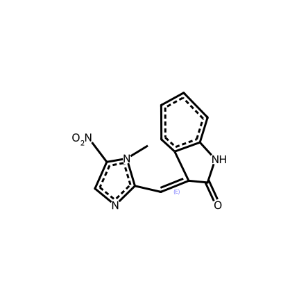 Cn1c([N+](=O)[O-])cnc1/C=C1/C(=O)Nc2ccccc21